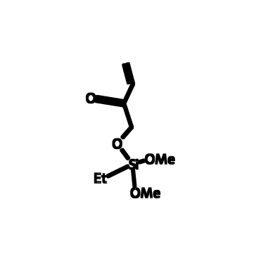 C=CC(=O)CO[Si](CC)(OC)OC